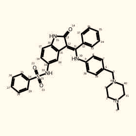 CN1CCN(Cc2ccc(NC(=C3C(=O)Nc4ccc(NS(=O)(=O)c5ccccc5)cc43)c3ccccc3)cc2)CC1